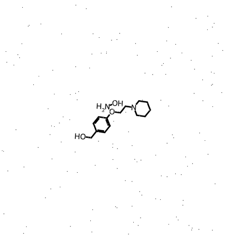 NO.OCc1ccc(OCCN2CCCCC2)cc1